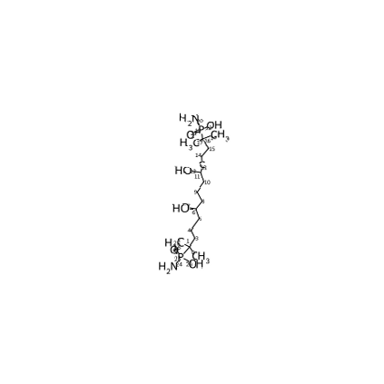 CC(C)(CCCC(O)CCCC(O)CCCC(C)(C)P(N)(=O)O)P(N)(=O)O